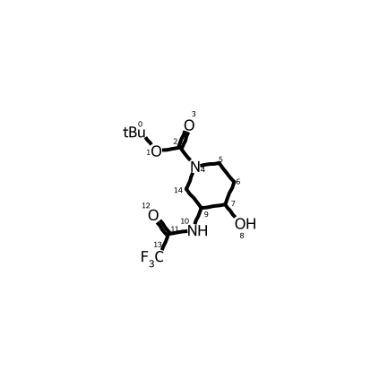 CC(C)(C)OC(=O)N1CCC(O)C(NC(=O)C(F)(F)F)C1